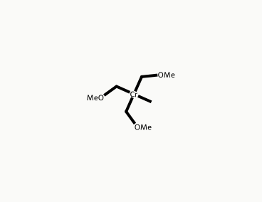 CO[CH2][Cr]([CH3])([CH2]OC)[CH2]OC